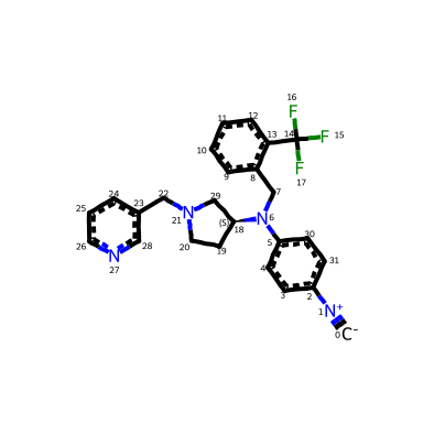 [C-]#[N+]c1ccc(N(Cc2ccccc2C(F)(F)F)[C@H]2CCN(Cc3cccnc3)C2)cc1